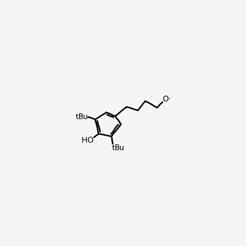 CC(C)(C)c1cc(CCCC[O])cc(C(C)(C)C)c1O